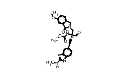 CNc1nc2ccc(C#C[C@](C=O)(CN3Cc4ccc(OC)cc4C3=O)NC(=O)OC)cc2s1